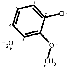 COc1ccccc1Cl.O